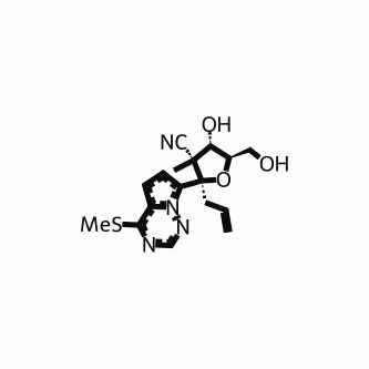 C=CC[C@@]1(c2ccc3c(SC)ncnn23)O[C@H](CO)[C@@H](O)[C@@]1(C)C#N